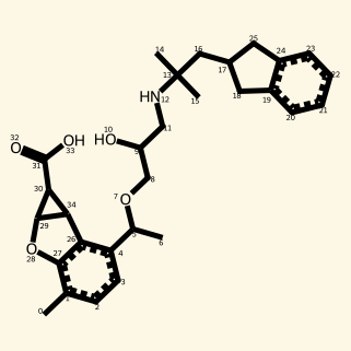 Cc1ccc(C(C)OCC(O)CNC(C)(C)CC2Cc3ccccc3C2)c2c1OC1C(C(=O)O)C21